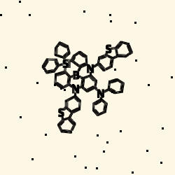 c1ccc(N(c2ccccc2)c2cc3c4c(c2)N(c2ccc5c(c2)sc2ccccc25)c2cccc5c2B4c2c(cccc2[Si]5(c2ccccc2)c2ccccc2)N3c2ccc3c(c2)sc2ccccc23)cc1